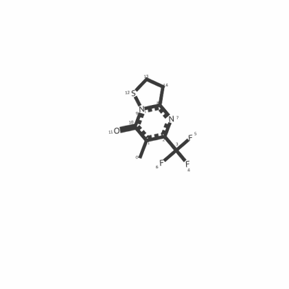 Cc1c(C(F)(F)F)nc2n(c1=O)SCC2